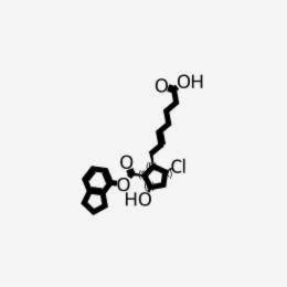 O=C(O)CCCC=CC[C@@H]1[C@H](C(=O)Oc2cccc3c2CCC3)[C@H](O)C[C@H]1Cl